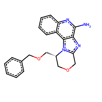 Nc1nc2ccccc2c2c1nc1n2[C@@H](COCc2ccccc2)COC1